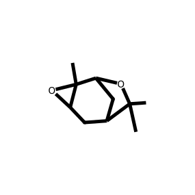 CC1(C)OC2CC1CC1OC21C